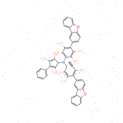 BC1=C(B)C(N(C/C(B)=C(B)\C(=C(\B)C#C)c2ccc3oc4ccccc4c3c2)c2c(B)c(B)c(-c3ccc4oc5ccccc5c4c3)c(B)c2B)C(B)=C1c1ccccc1